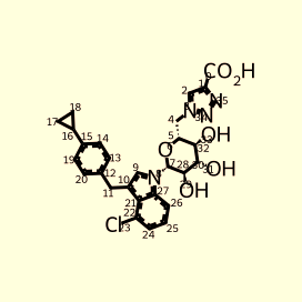 O=C(O)c1cn(C[C@H]2O[C@@H](n3cc(Cc4ccc(C5CC5)cc4)c4c(Cl)cccc43)[C@H](O)[C@@H](O)[C@@H]2O)nn1